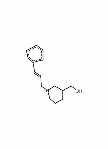 OCC1CCCN(CC=Cc2ccccc2)C1